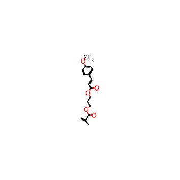 C=C(C)C(=O)OCCCOC(=O)/C=C/c1ccc(OC(F)(F)F)cc1